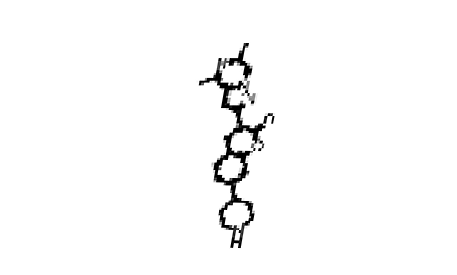 Cc1cn2nc(-c3cc4ccc(C5CCNCC5)cc4oc3=O)cc2c(C)n1